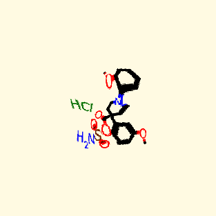 COc1cccc(C2(C(=O)OS(N)(=O)=O)CCN(c3ccccc3OC)CC2)c1.Cl